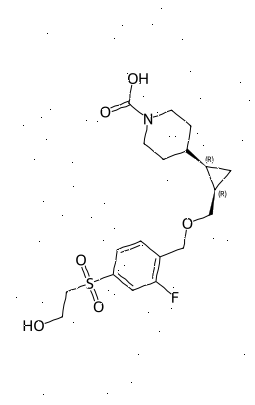 O=C(O)N1CCC([C@H]2C[C@H]2COCc2ccc(S(=O)(=O)CCO)cc2F)CC1